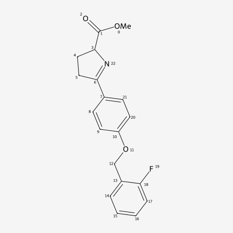 COC(=O)C1CCC(c2ccc(OCc3ccccc3F)cc2)=N1